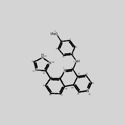 COc1ccc(Nc2nc3c(-c4nc[nH]n4)cccc3c3cnccc23)cc1